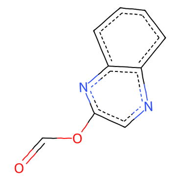 O=COc1cnc2ccccc2n1